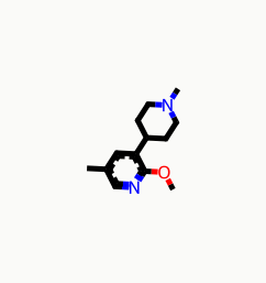 COc1ncc(C)cc1C1CCN(C)CC1